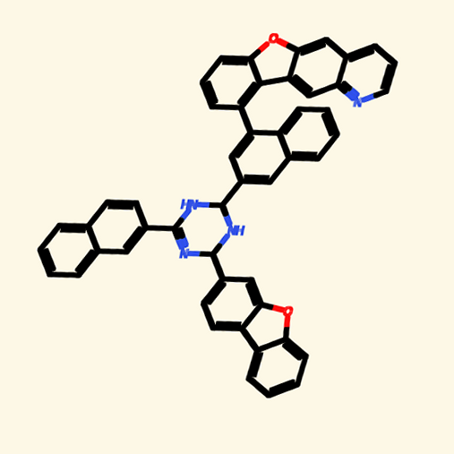 c1ccc2cc(C3=NC(c4ccc5c(c4)oc4ccccc45)NC(c4cc(-c5cccc6oc7cc8cccnc8cc7c56)c5ccccc5c4)N3)ccc2c1